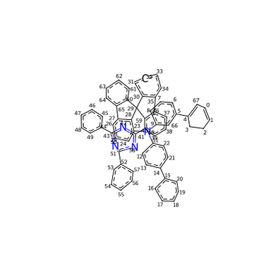 C1=CCCC(c2cccc(N(c3ccc(-c4ccccc4)cc3)c3cccc4c3C3(c5ccccc5-c5cccc(-c6nc(-c7ccccc7)nc(-c7ccccc7)n6)c53)c3ccccc3-4)c2)=C1